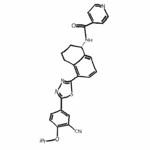 CC(C)Oc1ccc(-c2nnc(-c3cccc4c3CCC[C@@H]4NC(=O)c3ccncc3)s2)cc1C#N